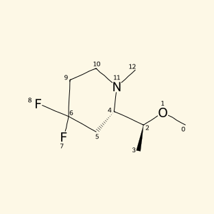 CO[C@@H](C)[C@@H]1CC(F)(F)CCN1C